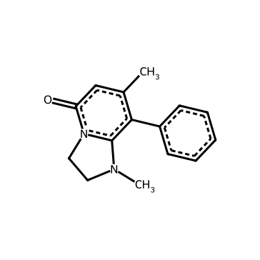 Cc1cc(=O)n2c(c1-c1ccccc1)N(C)CC2